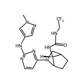 Cn1cc(Nc2nccc(N3CC4CCC3[C@@H]4NC(=O)NCC(F)(F)F)n2)cn1